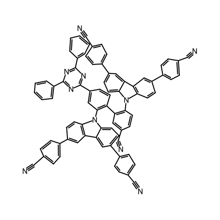 N#Cc1ccc(-c2ccc3c(c2)c2cc(-c4ccc(C#N)cc4)ccc2n3-c2ccc(C#N)cc2-c2ccc(-c3nc(-c4ccccc4)nc(-c4ccccc4)n3)cc2-n2c3ccc(-c4ccc(C#N)cc4)cc3c3cc(-c4ccc(C#N)cc4)ccc32)cc1